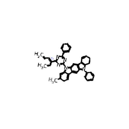 C=C/C=C(\C=C)c1nc(-c2ccccc2)nc(-n2c3c(c4cc5c(cc42)c2c(n5-c4ccccc4)CCC=C2)=CCC(C)C=3)n1